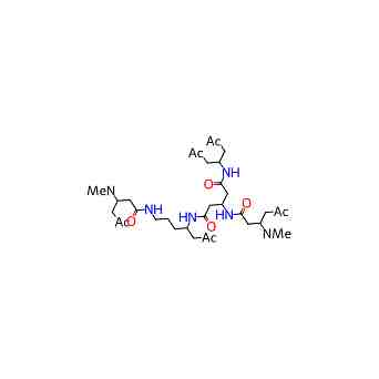 CNC(CC(C)=O)CC(=O)NCCCC(CC(C)=O)NC(=O)CC(CC(=O)NC(CC(C)=O)CC(C)=O)NC(=O)CC(CC(C)=O)NC